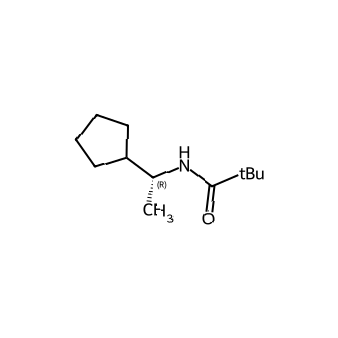 C[C@@H](NC(=O)C(C)(C)C)C1CCCC1